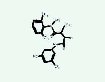 CCC(C(=O)Nc1cc(C#N)cc(C(F)(F)F)c1)C(C)C(=O)N(C)c1c(C)cccc1C